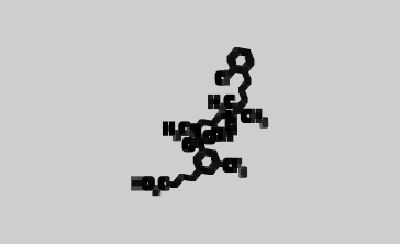 CN(C[C@H](O)CNC(C)(C)CCCc1ccccc1Cl)S(=O)(=O)c1cc(CCCC(=O)O)cc(C(F)(F)F)c1